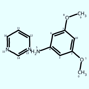 COc1cc(N)cc(OC)c1.c1cncnc1